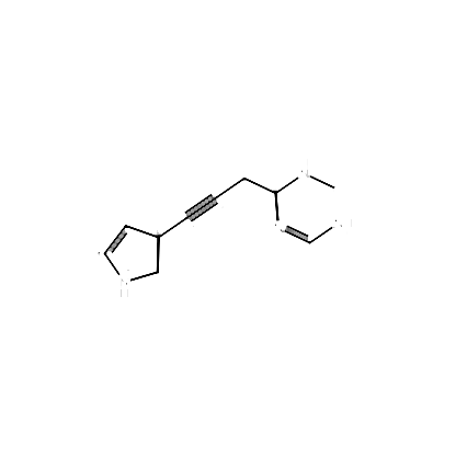 CNC(CC#CC1C=CNC1)/N=C\N